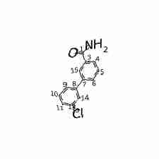 NC(=O)c1cccc(-c2cccc(Cl)c2)c1